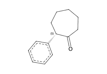 O=C1CCCCC[C@H]1c1ccccc1